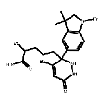 CCC1=CC(=O)NNC1(CCCC(CC)C(N)=O)c1ccc2c(c1)C(C)(C)CN2C(C)C